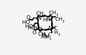 C=Cc1c(C)c2cc3nc(c(CC(=O)O)c4nc(cc5[nH]c(cc1[nH]2)c(C)c5CC)C(C)=C4C(=O)O)[C@@H](CCC(=O)O)[C@@H]3C.[AlH3]